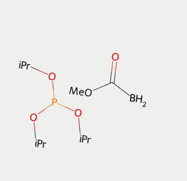 BC(=O)OC.CC(C)OP(OC(C)C)OC(C)C